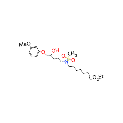 CCOC(=O)CCCCCCN(CCCC(O)COc1cccc(OC)c1)S(C)(=O)=O